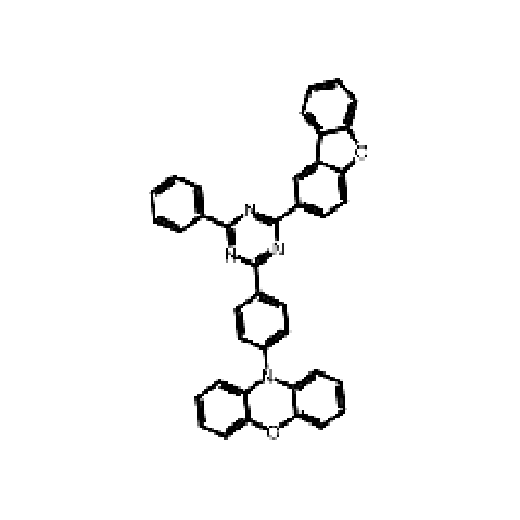 c1ccc(-c2nc(-c3ccc(N4c5ccccc5Oc5ccccc54)cc3)nc(-c3ccc4oc5ccccc5c4c3)n2)cc1